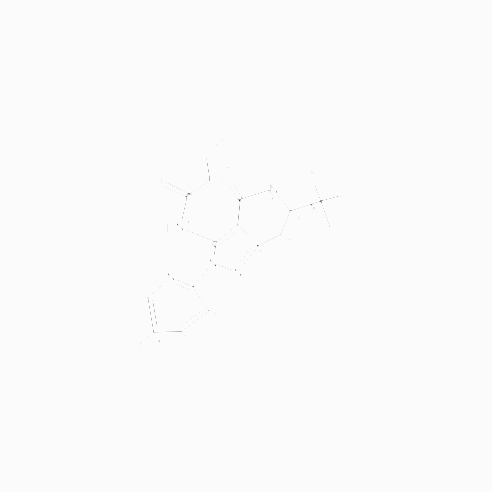 CSCC(=O)Nc1c2c(nn1-c1ccc(C)cn1)CC(C(F)(F)F)NC2=O